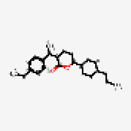 CCCC1CCC(C2CCC(C(C)c3ccc(CC)cc3)C(=O)O2)CC1